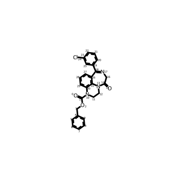 O=C(OCc1ccccc1)N1CCN2C(=O)CN=C(c3cccc(Cl)c3)c3cccc1c32